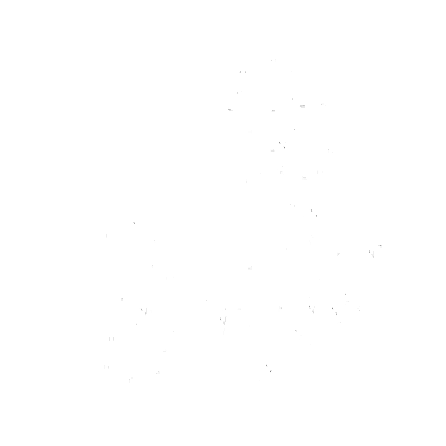 C=Cc1ccccc1CN(C(=O)CCNC(=O)CCC(C)(C#N)/N=N/C(C)(C#N)CCC(=O)NCCC(=O)N(Cc1ccccc1C)c1ccccc1C)c1ccccc1C